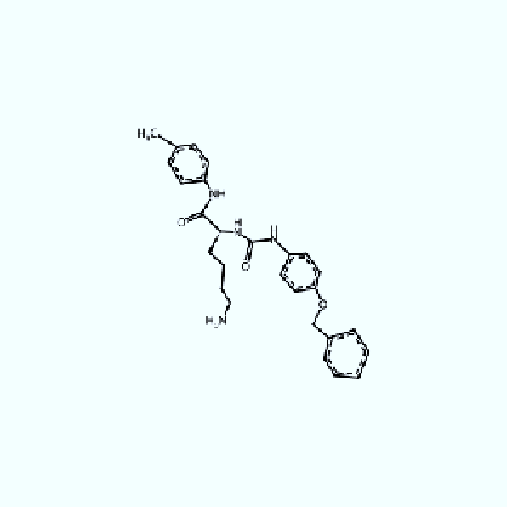 Cc1ccc(NC(=O)[C@H](CCCCN)NC(=O)Nc2ccc(OCc3ccccc3)cc2)cc1